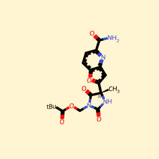 CC(C)(C)C(=O)OCN1C(=O)N[C@@](C)(c2cc3nc(C(N)=O)ccc3o2)C1=O